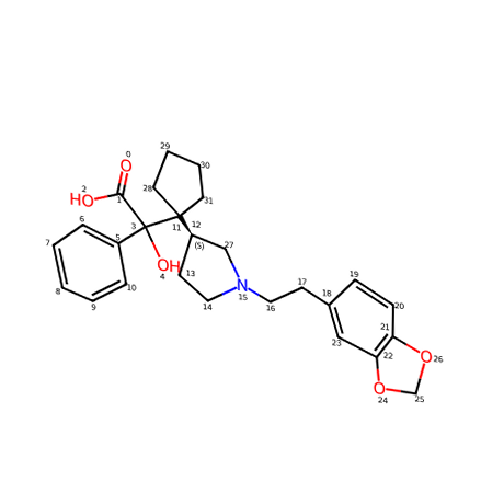 O=C(O)C(O)(c1ccccc1)C1([C@@H]2CCN(CCc3ccc4c(c3)OCO4)C2)CCCC1